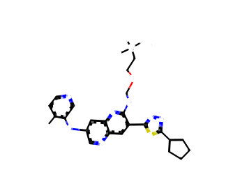 Cc1ccncc1Nc1cnc2cc(-c3nnc(C4CCCC4)s3)c(NCOCC[Si](C)(C)C)nc2c1